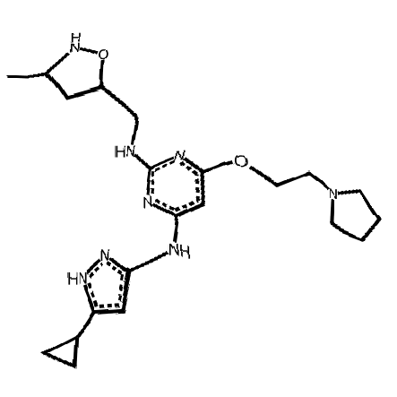 CC1CC(CNc2nc(Nc3cc(C4CC4)[nH]n3)cc(OCCN3CCCC3)n2)ON1